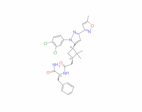 Cc1cc(-c2cc([C@@H]3C[C@H](CC(=O)N[C@@H](Cc4ccccc4)C(N)=O)C3(C)C)n(-c3ccc(Cl)c(Cl)c3)n2)no1